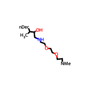 CCCCCCCCCCC(C)C(O)CNCCOCCOCCNC